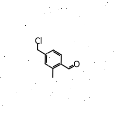 Cc1cc(CCl)ccc1C=O